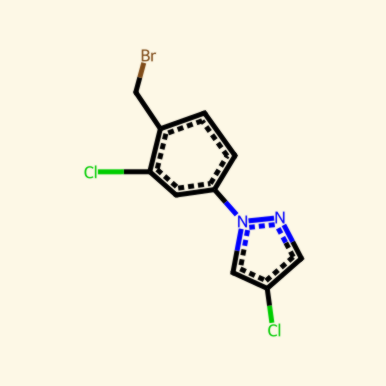 Clc1cnn(-c2ccc(CBr)c(Cl)c2)c1